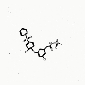 CS(=O)(=O)NC(=O)Cc1cc(Cl)cc(Sc2ccc(S(=O)(=O)c3ccccc3)cc2F)c1